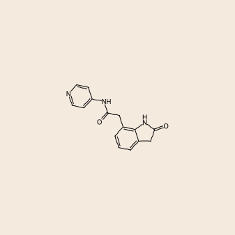 O=C(Cc1cccc2c1NC(=O)C2)Nc1ccncc1